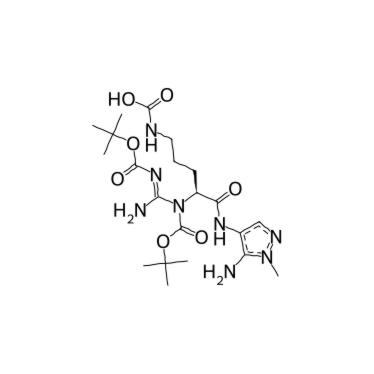 Cn1ncc(NC(=O)[C@H](CCCNC(=O)O)N(C(=O)OC(C)(C)C)C(N)=NC(=O)OC(C)(C)C)c1N